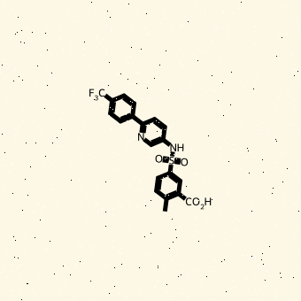 Cc1ccc(S(=O)(=O)Nc2ccc(-c3ccc(C(F)(F)F)cc3)nc2)cc1C(=O)O